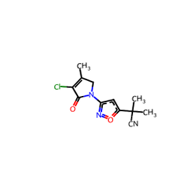 CC1=C(Cl)C(=O)N(c2cc(C(C)(C)C#N)on2)C1